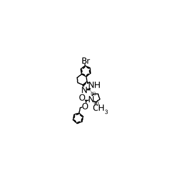 C[C@@H]1CC[C@@H](c2nc3c([nH]2)-c2ccc(Br)cc2CC3)N1C(=O)OCc1ccccc1